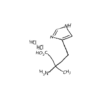 CC(N)(Cc1c[nH]cn1)C(=O)O.Cl.Cl